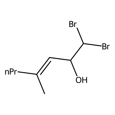 CCCC(C)=CC(O)C(Br)Br